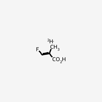 CC(=CF)C(=O)O.[2H]